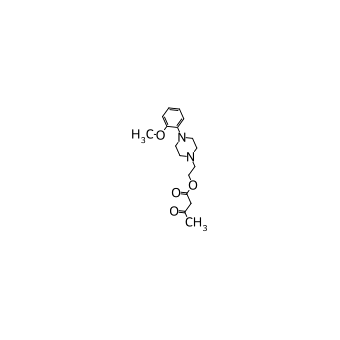 COc1ccccc1N1CCN(CCOC(=O)CC(C)=O)CC1